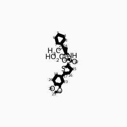 C[C@]1(c2ccccc2)C[C@@]1(NS(=O)(=O)c1ccc(-c2ccc3c(c2)OCO3)s1)C(=O)O